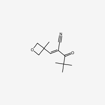 CC1(/C=C(\C#N)C(=O)C(C)(C)C)COC1